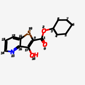 O=C(OC1CCCCC1)c1sc2cccnc2c1O